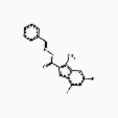 Cn1c(C(=O)N/N=C/c2ccccc2)cc2c(F)cc(F)cc21